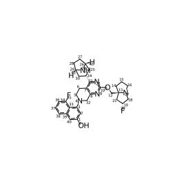 Oc1cc(N2CCc3c(nc(OC[C@@]45CCCN4C[C@H](F)C5)nc3[C@H]3C[C@H]4CC[C@@H](C3)N4)C2)c2c(F)cccc2c1